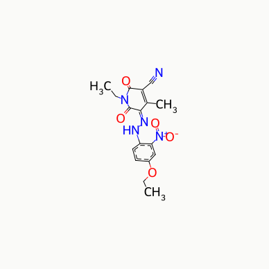 CCOc1ccc(N/N=C2\C(=O)N(CC)C(=O)C(C#N)=C2C)c([N+](=O)[O-])c1